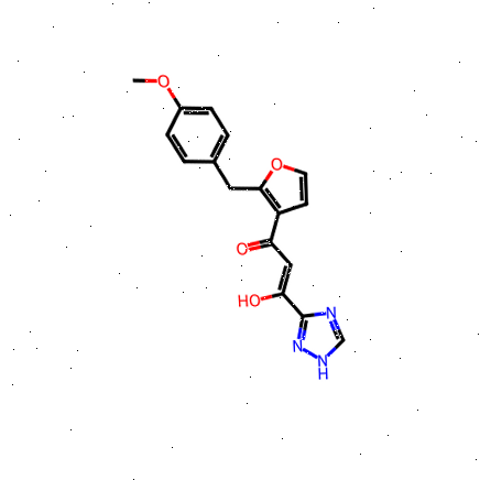 COc1ccc(Cc2occc2C(=O)C=C(O)c2nc[nH]n2)cc1